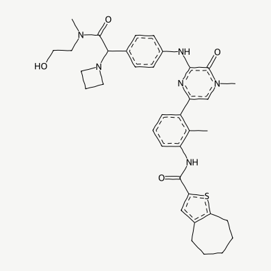 Cc1c(NC(=O)c2cc3c(s2)CCCCC3)cccc1-c1cn(C)c(=O)c(Nc2ccc(C(C(=O)N(C)CCO)N3CCC3)cc2)n1